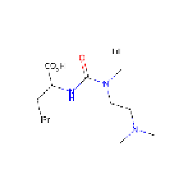 CC(C)CC(NC(=O)N(C)CCN(C)C)C(=O)O.[LiH]